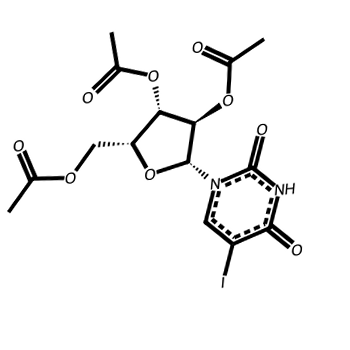 CC(=O)OC[C@H]1O[C@@H](n2cc(I)c(=O)[nH]c2=O)[C@H](OC(C)=O)[C@H]1OC(C)=O